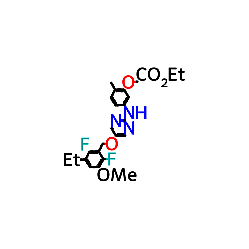 CCOC(=O)COc1cc(Nc2ncc(OCc3c(F)c(CC)cc(OC)c3F)cn2)ccc1C